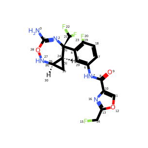 NC1=N[C@@](c2cc(NC(=O)c3coc(CF)n3)ccc2F)(C(F)F)[C@H]2C[C@H]2NO1